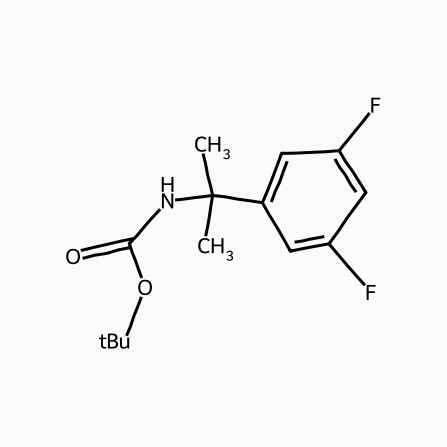 CC(C)(C)OC(=O)NC(C)(C)c1cc(F)cc(F)c1